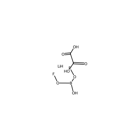 O=C(O)C(=O)O.OB(OF)OF.[LiH]